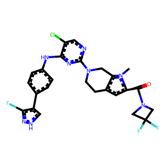 Cn1c(C(=O)N2CC(F)(F)C2)cc2c1CN(c1ncc(Cl)c(Nc3ccc(-c4c[nH]nc4F)cc3)n1)CC2